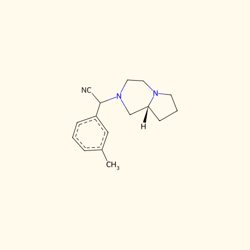 Cc1cccc(C(C#N)N2CCN3CCC[C@@H]3C2)c1